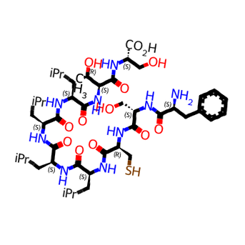 CC(C)C[C@H](NC(=O)[C@H](CC(C)C)NC(=O)[C@H](CS)NC(=O)[C@H](CO)NC(=O)[C@@H](N)Cc1ccccc1)C(=O)N[C@@H](CC(C)C)C(=O)N[C@@H](CC(C)C)C(=O)N[C@H](C(=O)N[C@@H](CO)C(=O)O)[C@@H](C)O